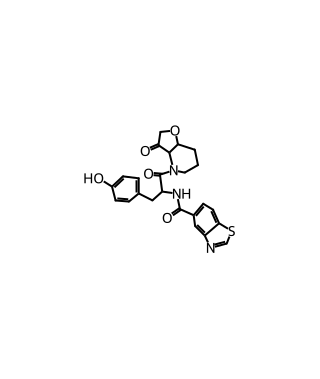 O=C(NC(Cc1ccc(O)cc1)C(=O)N1CCCC2OCC(=O)C21)c1ccc2scnc2c1